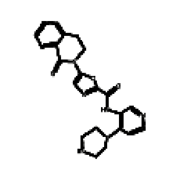 O=C(Nc1cnccc1N1CCNCC1)c1ncc(N2CCc3ccccc3C2=O)o1